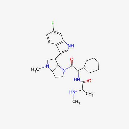 CNC(C)C(=O)NC(C(=O)N1CCC2C1C(c1c[nH]c3cc(F)ccc13)CN2C)C1CCCCC1